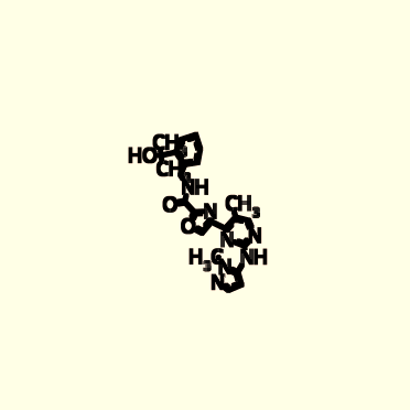 Cc1cnc(Nc2ccnn2C)nc1-c1coc(C(=O)NCc2ccccc2C(C)(C)O)n1